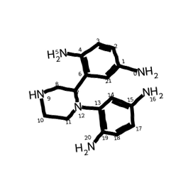 Nc1ccc(N)c(C2CNCCN2c2cc(N)ccc2N)c1